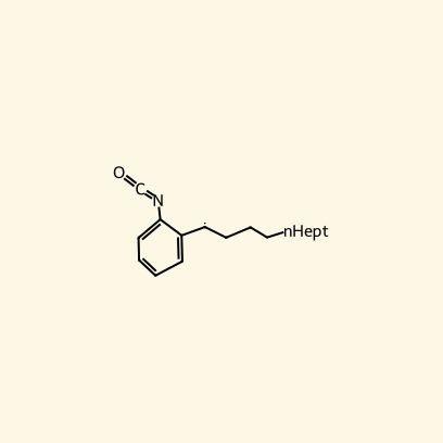 CCCCCCCCCC[CH]c1ccccc1N=C=O